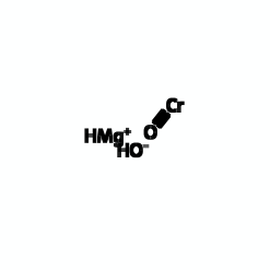 [MgH+].[OH-].[O]=[Cr]